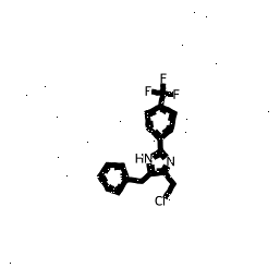 FC(F)(F)c1ccc(-c2nc(CCl)c(Cc3ccccc3)[nH]2)cc1